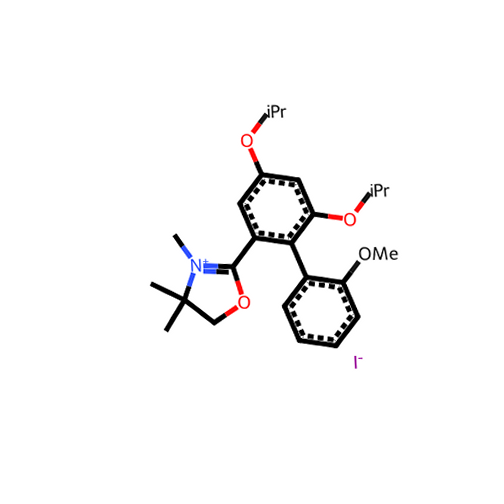 COc1ccccc1-c1c(OC(C)C)cc(OC(C)C)cc1C1=[N+](C)C(C)(C)CO1.[I-]